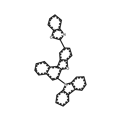 c1ccc2c(c1)cc(-n1c3ccccc3c3ccccc31)c1oc3ccc(-c4nc5ccccc5o4)cc3c12